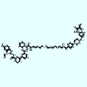 CCOc1cc(OC)ccc1CNCC(=O)N1CCCC(c2cccc(C(=O)N[C@@H](C(=O)NCCOCCOCCOCCOCCNC(=O)c3ccc(N4CCN(Cc5cnc6cc(CC)c(=O)[nH]c6c5)CC4)cn3)C3CCCCC3)c2)C1